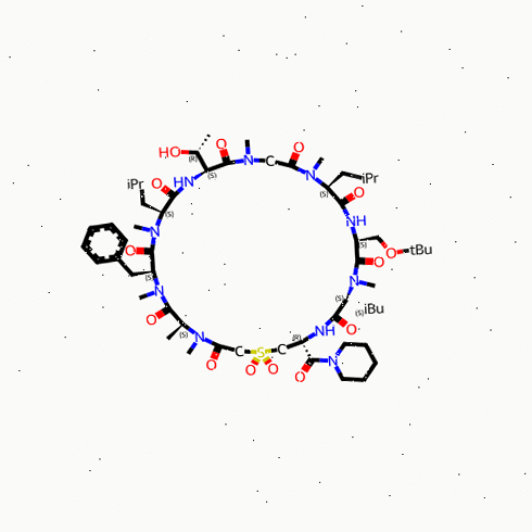 CC[C@H](C)[C@H]1C(=O)N[C@H](C(=O)N2CCCCC2)CS(=O)(=O)CC(=O)N(C)[C@@H](C)C(=O)N(C)[C@@H](Cc2ccccc2)C(=O)N(C)[C@@H](CC(C)C)C(=O)N[C@@H]([C@@H](C)O)C(=O)N(C)CC(=O)N(C)[C@@H](CC(C)C)C(=O)N[C@@H](COC(C)(C)C)C(=O)N1C